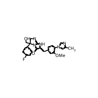 COc1cc(/C=c2\[nH]c3n(c2=O)C(CO)(c2ccc(F)cc2)CN=3)ccc1-n1cnc(C)c1